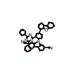 N#Cc1ccc2c3ccc(C#N)cc3n(-c3ccc(-c4cccc5c4oc4ccccc45)cc3-c3nc(-c4ccccc4)nc(-c4ccccc4)n3)c2c1